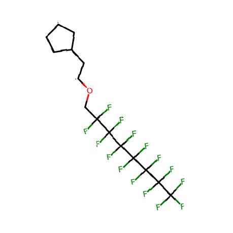 FC(F)(F)C(F)(F)C(F)(F)C(F)(F)C(F)(F)C(F)(F)C(F)(F)CO[CH]CC1C[CH]CC1